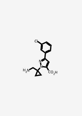 NCC1(n2nc(-c3cccc(Cl)c3)cc2C(=O)O)CC1